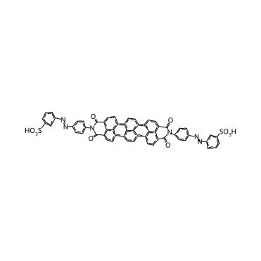 O=C1c2ccc3c4ccc5c6ccc7c8c(ccc(c9ccc(c%10ccc(c2c3%10)C(=O)N1c1ccc(N=Nc2cccc(S(=O)(=O)O)c2)cc1)c4c59)c86)C(=O)N(c1ccc(N=Nc2cccc(S(=O)(=O)O)c2)cc1)C7=O